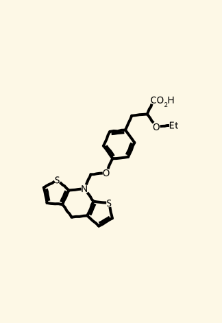 CCOC(Cc1ccc(OCN2c3sccc3Cc3ccsc32)cc1)C(=O)O